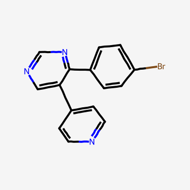 Brc1ccc(-c2ncncc2-c2ccncc2)cc1